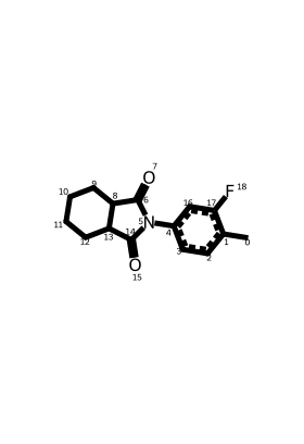 Cc1ccc(N2C(=O)C3CCCCC3C2=O)cc1F